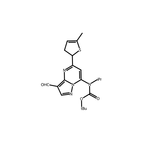 CC1=CCC(c2cc(N(C(=O)OC(C)(C)C)C(C)C)n3ncc(C=O)c3n2)S1